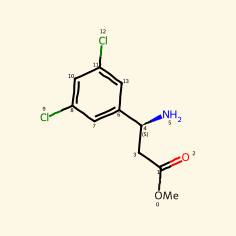 COC(=O)C[C@H](N)c1cc(Cl)cc(Cl)c1